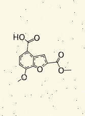 COC(=O)c1cc2c(C(=O)O)ccc(OC)c2o1